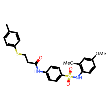 COc1ccc(NS(=O)(=O)c2ccc(NC(=O)CCSc3ccc(C)cc3)cc2)c(OC)c1